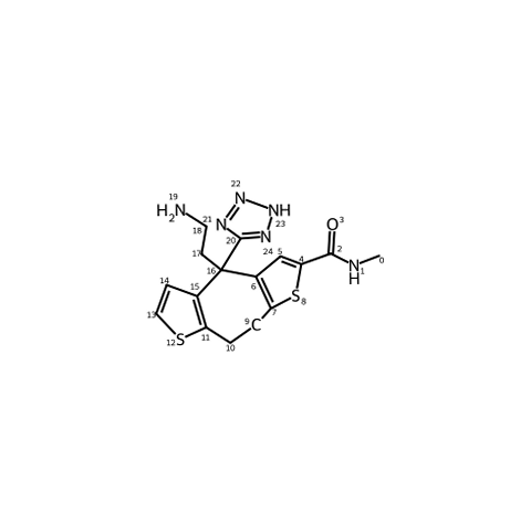 CNC(=O)c1cc2c(s1)CCc1sccc1C2(CCN)c1nn[nH]n1